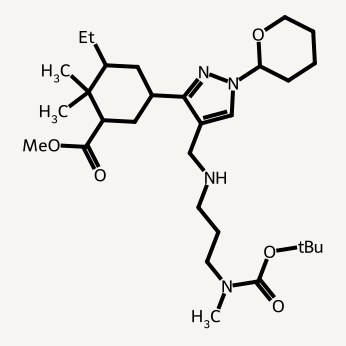 CCC1CC(c2nn(C3CCCCO3)cc2CNCCCN(C)C(=O)OC(C)(C)C)CC(C(=O)OC)C1(C)C